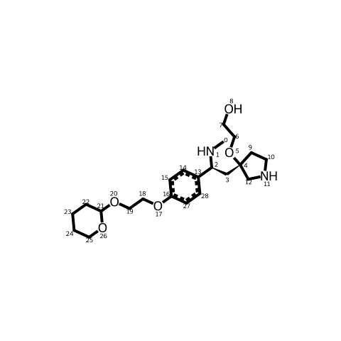 CN[C@@H](C[C@@]1(OCCO)CCNC1)c1ccc(OCCOC2CCCCO2)cc1